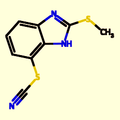 CSc1nc2cccc(SC#N)c2[nH]1